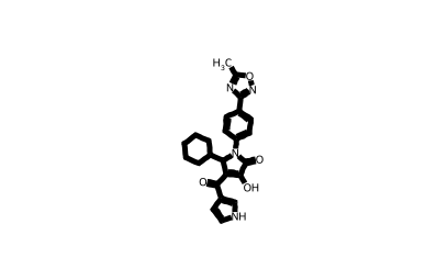 Cc1nc(-c2ccc(N3C(=O)C(O)=C(C(=O)c4cc[nH]c4)C3C3CCCCC3)cc2)no1